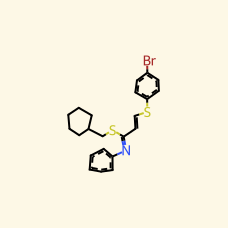 Brc1ccc(SC=CC(=Nc2ccccc2)SCC2CCCCC2)cc1